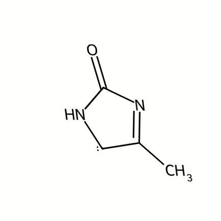 CC1=NC(=O)N[C]1